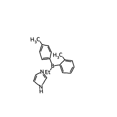 CCB(c1ccc(C)cc1)c1ccccc1C.c1c[nH]cn1